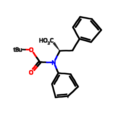 CC(C)(C)OC(=O)N(c1cc[c]cc1)[C@@H](Cc1ccccc1)C(=O)O